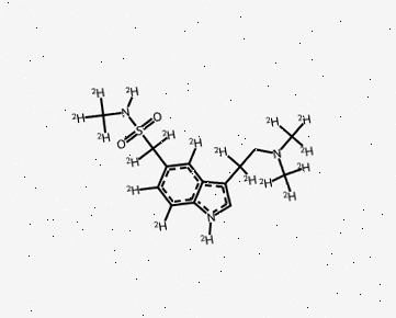 [2H]c1c(C([2H])([2H])S(=O)(=O)N([2H])C([2H])([2H])[2H])c([2H])c2c(C([2H])([2H])CN(C([2H])([2H])[2H])C([2H])([2H])[2H])cn([2H])c2c1[2H]